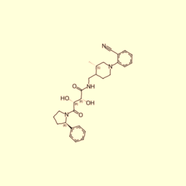 C[C@@H]1CN(c2ccccc2C#N)CCC1CNC(=O)[C@H](O)[C@@H](O)C(=O)N1CCC[C@@H]1c1ccccc1